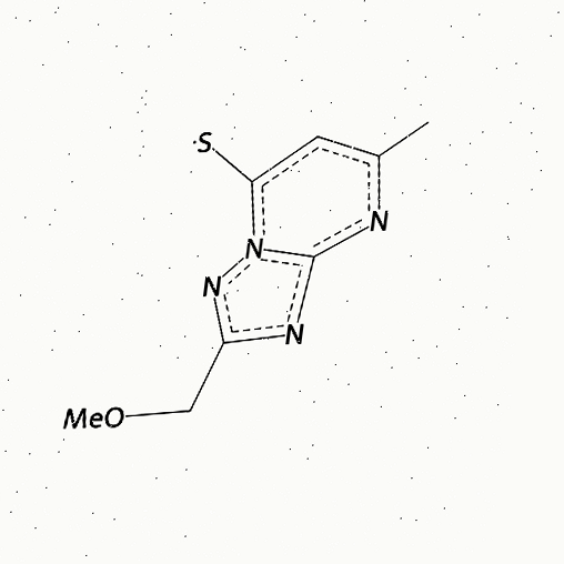 COCc1nc2nc(C)cc([S])n2n1